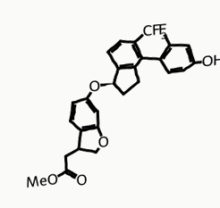 COC(=O)CC1COc2cc(O[C@@H]3CCc4c3ccc(C(F)(F)F)c4-c3ccc(O)cc3F)ccc21